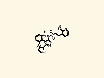 COc1cccc(OC)c1-n1c(NS(=O)(=O)CCc2cccnc2OC)nnc1-c1ccco1